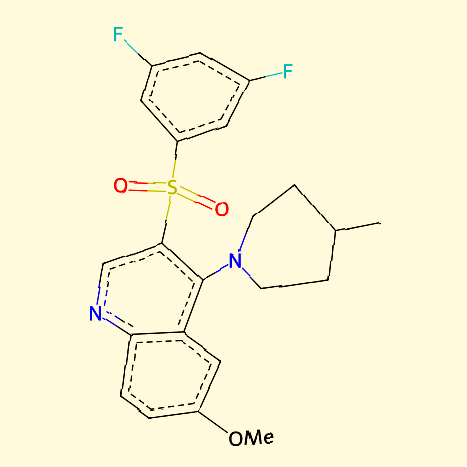 COc1ccc2ncc(S(=O)(=O)c3cc(F)cc(F)c3)c(N3CCC(C)CC3)c2c1